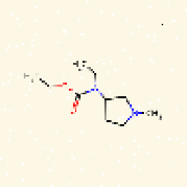 CCOC(=O)N(CC)C1CCN(C)C1